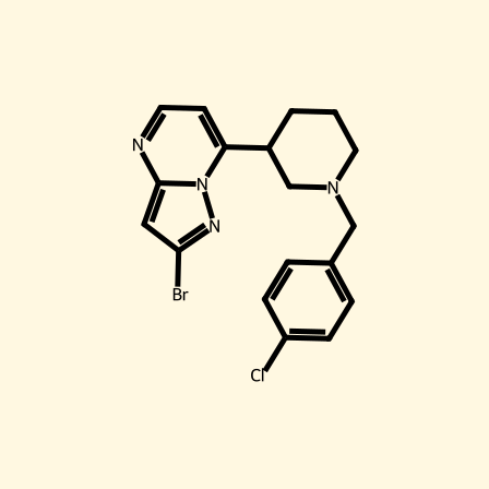 Clc1ccc(CN2CCCC(c3ccnc4cc(Br)nn34)C2)cc1